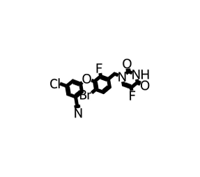 N#Cc1cc(Cl)cc(Oc2c(Br)ccc(Cn3cc(F)c(=O)[nH]c3=O)c2F)c1